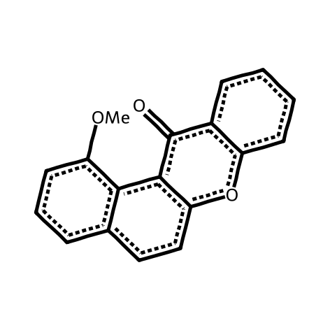 COc1cccc2ccc3oc4ccccc4c(=O)c3c12